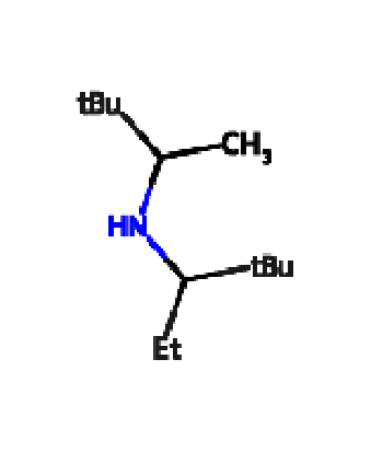 CCC(NC(C)C(C)(C)C)C(C)(C)C